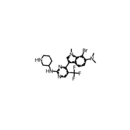 CN(C)c1ccc2c(-c3nc(NC4CCCNC4)ncc3C(F)(F)F)cn(C)c2c1Br